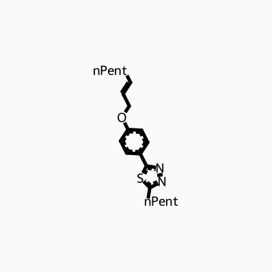 CCCCCC=CCOc1ccc(-c2nnc(CCCCC)s2)cc1